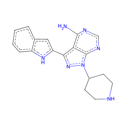 Nc1ncnc2c1c(-c1cc3ccccc3[nH]1)nn2C1CCNCC1